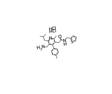 Cc1ccc(-c2c(CC(=O)NCc3cccs3)c(C)nc(CC(C)C)c2CN)cc1.Cl.Cl